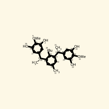 COc1c(O)cc([C@@H](C)c2cc(C)cc([C@H](C)c3cc(O)c(OC)c(O)c3)c2C(C)(C)C)cc1O